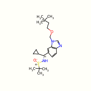 CC(C)(C)[S@+]([O-])N[C@@H](c1ccc2ncn(COCC[Si](C)(C)C)c2c1)C1CC1